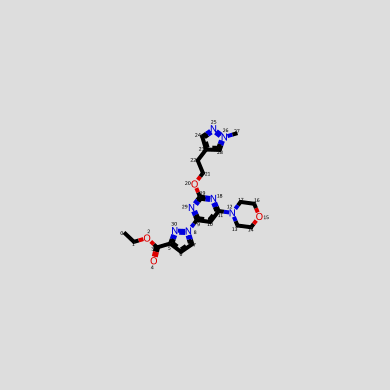 CCOC(=O)c1ccn(-c2cc(N3CCOCC3)nc(OCCc3cnn(C)c3)n2)n1